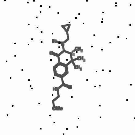 CCN(CC1CC1)C1C(=O)c2ccc(C(=O)NCCOC)cc2C(C)(C)[C@H]1C